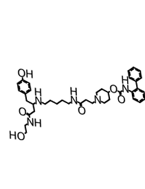 O=C(CCN1CCC(OC(=O)Nc2ccccc2-c2ccccc2)CC1)NCCCCCNC(CC(=O)NCCO)Cc1ccc(O)cc1